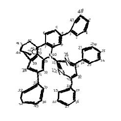 c1ccc(-c2ccc3c(c2)N(c2nc(-c4ccccc4)cc(-c4ccccc4)n2)c2cc(-c4ccccc4)cc4c2C32CCC4CC2)cc1